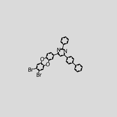 Brc1cc2c(cc1Br)Oc1cc(-c3cc(-c4ccc(-c5ccccc5)cc4)nc(-c4ccccc4)n3)ccc1O2